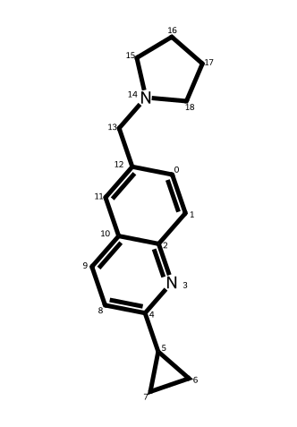 c1cc2nc(C3CC3)ccc2cc1CN1CCCC1